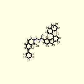 C/C(=C\C=C1\C=Cc2ccc(-c3ccccc3)cc2C1C)c1ccc2c(c1)-c1c(cccc1-c1cccc3ncccc13)C2